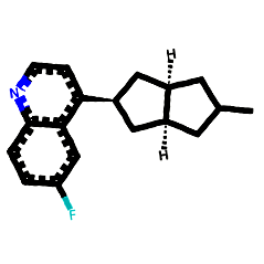 CC1C[C@@H]2C[C@H](c3ccnc4ccc(F)cc34)C[C@@H]2C1